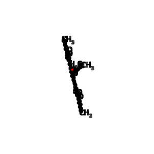 CCCCCCCCC(=O)CC(=O)OCCCCCCCCC(CCCCCCCCOC(=O)CC(=O)CCCCCC)OC(=O)CCCN(C)C